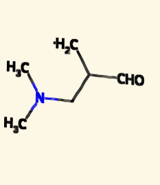 [CH2]C(C=O)CN(C)C